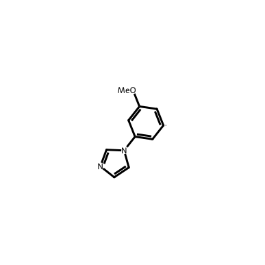 COc1c[c]cc(-n2ccnc2)c1